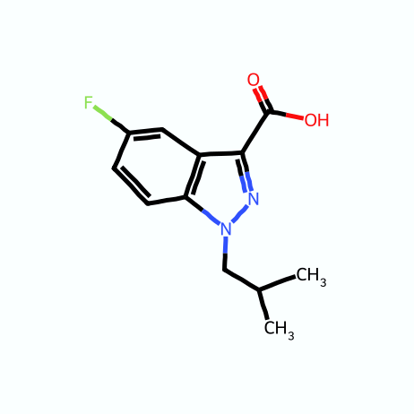 CC(C)Cn1nc(C(=O)O)c2cc(F)ccc21